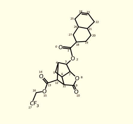 O=C(OC1C2CC3C1OC(=O)C3C2C(=O)OCC(F)(F)F)C1CCC2CC=CCC2C1